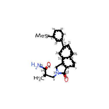 C=C(CN1Cc2c(ccc3ccc(-c4cccc(SC)c4)cc23)C1=O)C(N)=O